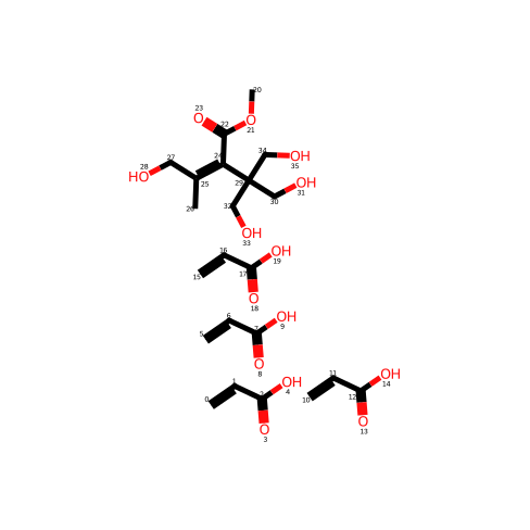 C=CC(=O)O.C=CC(=O)O.C=CC(=O)O.C=CC(=O)O.COC(=O)C(=C(C)CO)C(CO)(CO)CO